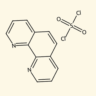 O=S(=O)(Cl)Cl.c1cnc2c(c1)ccc1cccnc12